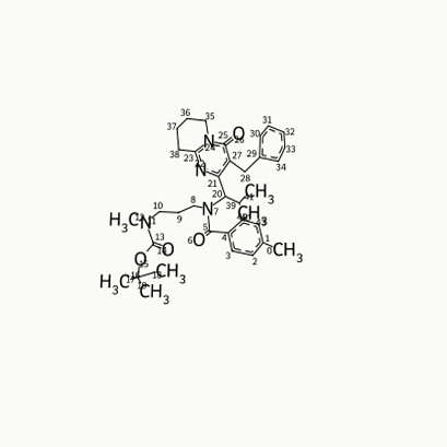 Cc1ccc(C(=O)N(CCCN(C)C(=O)OC(C)(C)C)C(c2nc3n(c(=O)c2Cc2ccccc2)CCCC3)C(C)C)cc1